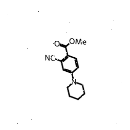 COC(=O)c1ccc(N2CCCCC2)cc1C#N